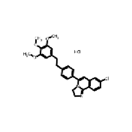 COc1cc(CCc2ccc(C3=Cc4cc(Cl)ccc4C4=NCCN34)cc2)cc(OC)c1OC.Cl